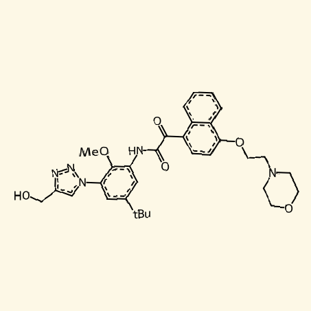 COc1c(NC(=O)C(=O)c2ccc(OCCN3CCOCC3)c3ccccc23)cc(C(C)(C)C)cc1-n1cc(CO)nn1